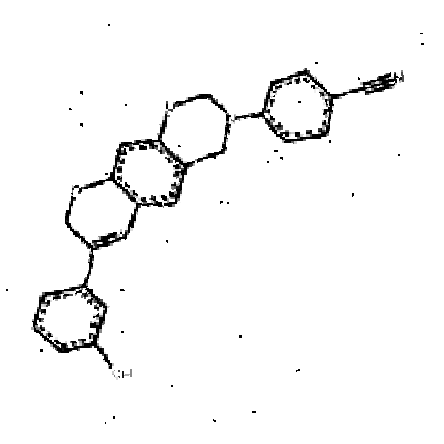 N#Cc1ccc(N2COc3cc4c(cc3C2)C=C(c2cccc(O)c2)CO4)cc1